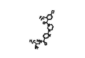 CC(C)C(C)CNC(=O)c1ccc(N2C=CCN(C(=O)c3ccc(Cl)cc3C(F)(F)F)C2)nc1